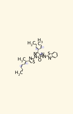 C=C/C=C\C=C(/C)c1csc(N2N=C(C(/C=C\C)=C/C=C)/C(=N/Nc3nc4ccccc4s3)C2=O)n1